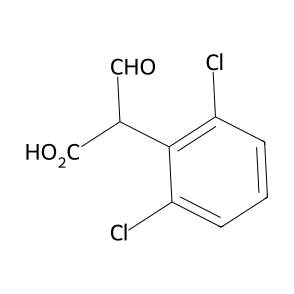 O=CC(C(=O)O)c1c(Cl)cccc1Cl